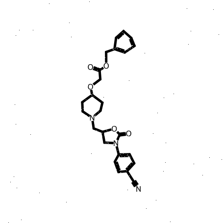 N#Cc1ccc(N2CC(CN3CCC(OCC(=O)OCc4ccccc4)CC3)OC2=O)cc1